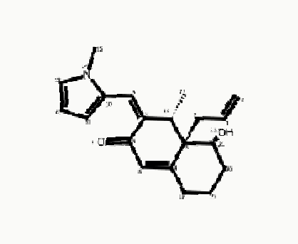 C=CC[C@@]12C(=CC(=O)C(=Cc3cccn3C)[C@@H]1C)CCC[C@@H]2O